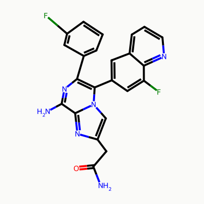 NC(=O)Cc1cn2c(-c3cc(F)c4ncccc4c3)c(-c3cccc(F)c3)nc(N)c2n1